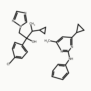 CC(C1CC1)C(O)(Cn1cncn1)c1ccc(Cl)cc1.Cc1cc(C2CC2)nc(Nc2ccccc2)n1